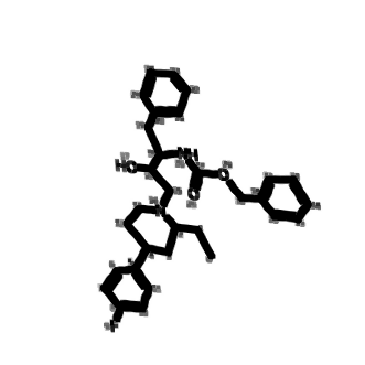 CCC1CC(c2ccc(F)cc2)CCN1CC(O)C(Cc1ccccc1)NC(=O)OCc1ccccc1